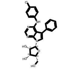 OC[C@H]1O[C@@H](n2cc(-c3ccccc3)c3c(Nc4ccc(Cl)cc4)ncnc32)[C@@H](O)[C@H]1O